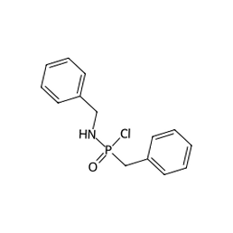 O=P(Cl)(Cc1ccccc1)NCc1ccccc1